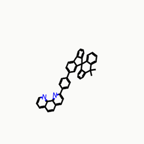 CC1(C)c2ccccc2C2(c3ccccc3-c3ccc(-c4ccc(-c5ccc6ccc7cccnc7c6n5)cc4)cc32)c2ccccc21